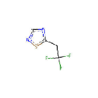 FC(F)(F)Cc1n[c]ns1